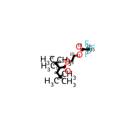 CC(C)(C)CC(C(=O)OCCOC(=O)C(F)(F)F)C(C)(C)C